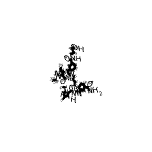 CCn1nc(C)cc1C(=O)Nc1nc2cc(C(N)=O)ccc2n1C/C=C/Cn1c(NC(=O)c2cc(C)nn2CC)nc2cc(C(=O)NCCCO)ccc21